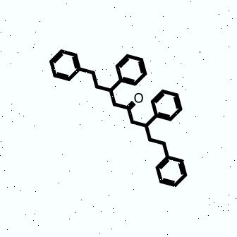 O=C(CC(CCc1ccccc1)c1ccccc1)CC(CCc1ccccc1)c1ccccc1